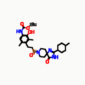 Cc1cc(NC(=O)OC(C)(C)C)c(O)c(C)c1CC[S+]([O-])N1CCC2(CC1)N=C(C1CCC(C)CC1)NC2=O